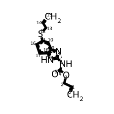 C=CCOC(=O)Nc1nc2cc(SCC=C)ccc2[nH]1